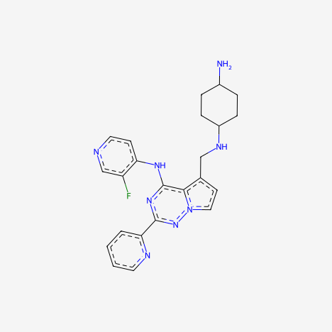 NC1CCC(NCc2ccn3nc(-c4ccccn4)nc(Nc4ccncc4F)c23)CC1